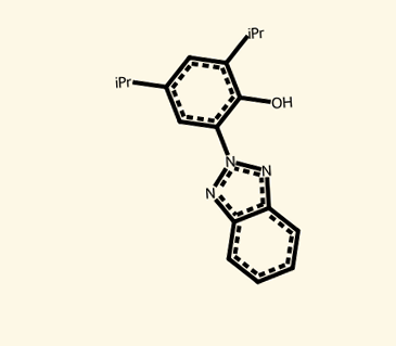 CC(C)c1cc(C(C)C)c(O)c(-n2nc3ccccc3n2)c1